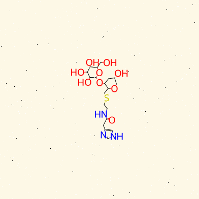 O=C(Cc1c[nH]cn1)NCCSCC1OCC(O)CC1OC1OC(CO)C(O)C(O)C1O